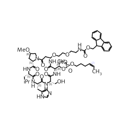 C/C=C\CCCOP(=O)(O)O[C@H](C)[C@H](NC(=O)[C@H](CO)NC(=O)[C@H](Cc1cnc[nH]1)NC(=O)[C@H](CC(C)C)NC(=O)[C@@H]1C[C@@H](OC)CN1C(=O)CCOCCOCCNC(=O)OCC1c2ccccc2-c2ccccc21)C(N)=O